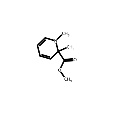 COC(=O)C1(C)C=CC=CN1C